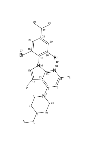 CCC1CCN(c2cc(C)nc3c2c(C)cn3-c2c(Br)cc(C(C)C)cc2Br)CC1